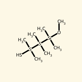 CO[Si](C)(C)S(C)(C)S(C)(C)S